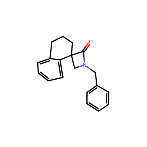 O=C1N(Cc2ccccc2)CC12CCCc1ccccc12